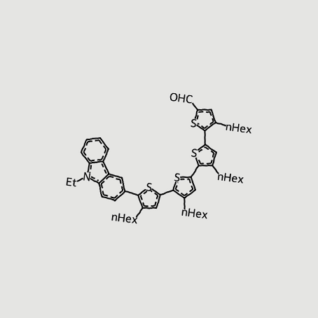 CCCCCCc1cc(-c2sc(-c3sc(-c4sc(C=O)cc4CCCCCC)cc3CCCCCC)cc2CCCCCC)sc1-c1ccc2c(c1)c1ccccc1n2CC